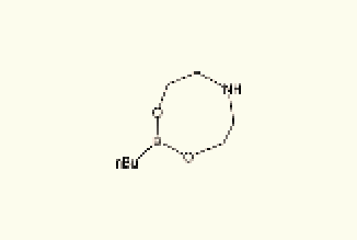 CCCCB1OCCNCCO1